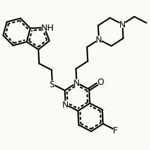 CCN1CCN(CCCn2c(SCCc3c[nH]c4ccccc34)nc3ccc(F)cc3c2=O)CC1